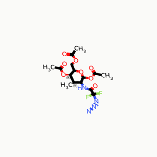 CC(=O)OCC1OC(OC(C)=O)C(NC(=O)C(F)(F)N=[N+]=[N-])[C@@H](C)[C@H]1OC(C)=O